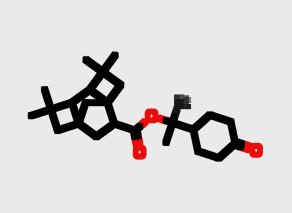 CCC(C)(OC(=O)C1CC23CC(C)(C)C2C2C(C)(C)CC12C3)C1CCC(=O)CC1